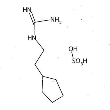 N=C(N)NCCC1CCCC1.O=S(=O)(O)O